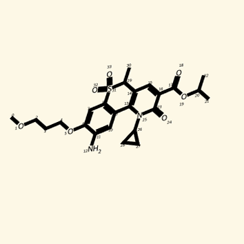 COCCCOc1cc2c(cc1N)-c1c(cc(C(=O)OC(C)C)c(=O)n1C1CC1)C(C)S2(=O)=O